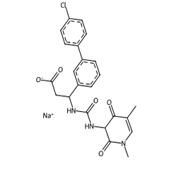 CC1=CN(C)C(=O)C(NC(=O)NC(CC(=O)[O-])c2cccc(-c3ccc(Cl)cc3)c2)C1=O.[Na+]